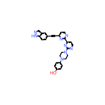 Oc1ccc(N2CCN(c3nccc(-c4nccc(C#Cc5ccc6[nH]ncc6c5)n4)n3)CC2)cc1